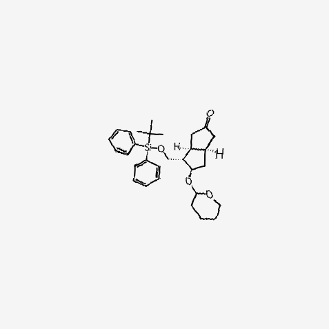 CC(C)(C)[Si](OC[C@@H]1[C@H]2CC(=O)C[C@H]2C[C@H]1OC1CCCCO1)(c1ccccc1)c1ccccc1